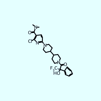 CN(C)C(=O)c1ccc(N2CCC(C3CCN(C(=O)[C@](O)(c4ccccc4)C(F)(F)F)CC3)CC2)nc1Cl